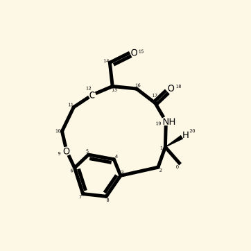 C[C@@H]1Cc2ccc(cc2)OCCCC(C=O)CC(=O)N1